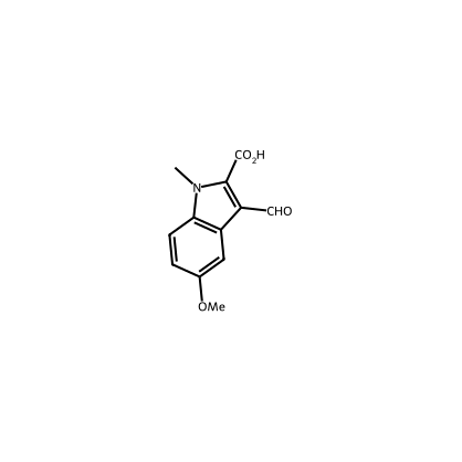 COc1ccc2c(c1)c(C=O)c(C(=O)O)n2C